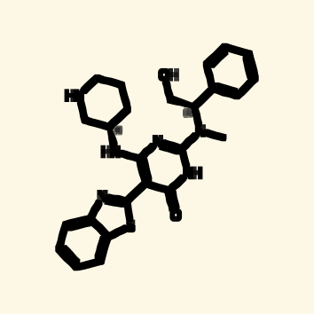 CN(c1nc(N[C@@H]2CCCNC2)c(-c2nc3ccccc3s2)c(=O)[nH]1)[C@@H](CO)c1ccccc1